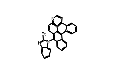 CCc1nc2ccccc2n1-c1c2ccccc2c(-c2ccccc2-c2ccncc2)c2ccccc12